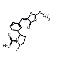 CSC1=NC(=O)/C(=C\c2cccc(C3CCC(F)N3C(=O)O)c2)S1